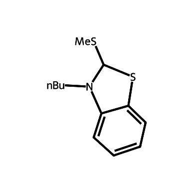 CCCCN1c2ccccc2SC1SC